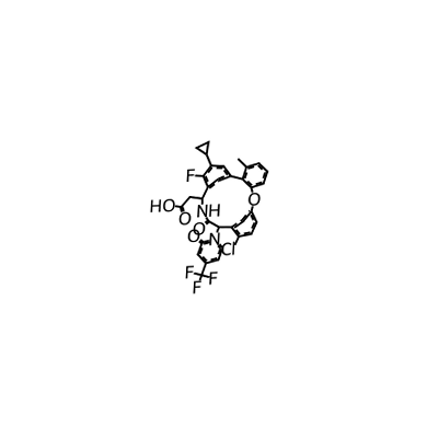 Cc1cccc2c1-c1cc(C3CC3)c(F)c(c1)C(CC(=O)O)NC(=O)C(n1ccc(C(F)(F)F)cc1=O)c1cc(ccc1Cl)O2